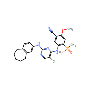 COc1cc(P(C)(C)=O)c(Nc2nc(Nc3ccc4c(c3)CCCCC4)ncc2Cl)cc1C#N